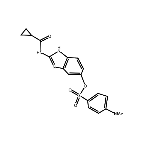 CNc1ccc(S(=O)(=O)Oc2ccc3[nH]c(NC(=O)C4CC4)nc3c2)cc1